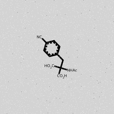 CC(=O)NC(Cc1ccc(C#N)cc1)(C(=O)O)C(=O)O